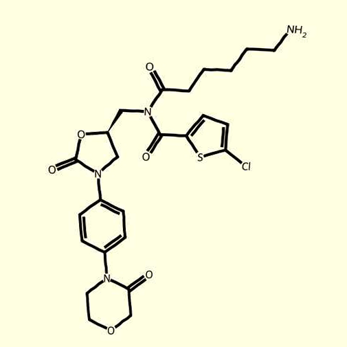 NCCCCCC(=O)N(C[C@H]1CN(c2ccc(N3CCOCC3=O)cc2)C(=O)O1)C(=O)c1ccc(Cl)s1